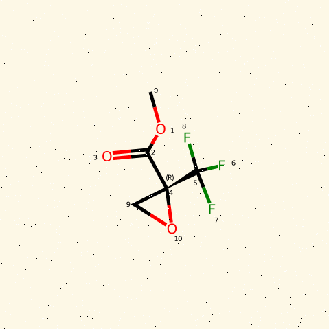 COC(=O)[C@@]1(C(F)(F)F)CO1